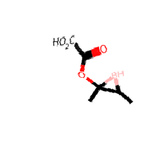 CC1BC1(C)OC(=O)C(=O)O